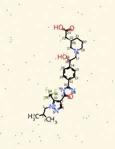 CC(C)Cn1ncc(-c2nc(-c3ccc([C@@H](O)CN4CCC[C@H](CC(=O)O)C4)cc3)no2)c1C(F)(F)F